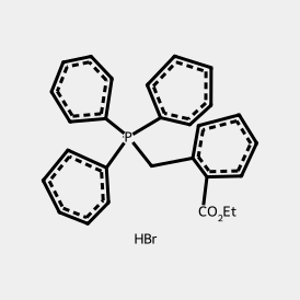 Br.CCOC(=O)c1ccccc1C[P](c1ccccc1)(c1ccccc1)c1ccccc1